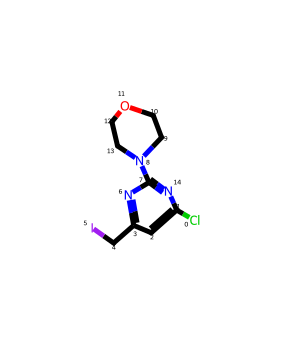 Clc1cc(CI)nc(N2CCOCC2)n1